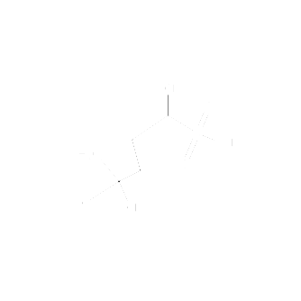 CC(CCC(C)(C)C)S(=O)(=O)O